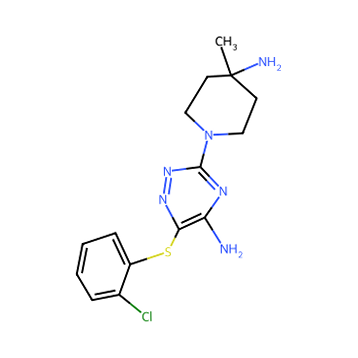 CC1(N)CCN(c2nnc(Sc3ccccc3Cl)c(N)n2)CC1